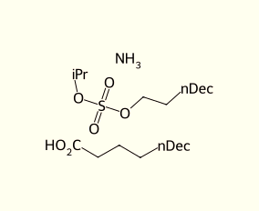 CCCCCCCCCCCCCC(=O)O.CCCCCCCCCCCCOS(=O)(=O)OC(C)C.N